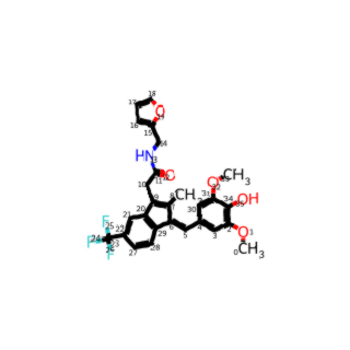 COc1cc(C=C2C(C)=C(CC(=O)NCc3ccco3)c3cc(C(F)(F)F)ccc32)cc(OC)c1O